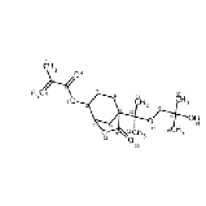 C=C(C)C(=O)OC1CCC2(C(C)(C)OCC(C)(C)O)CC1OC2=O